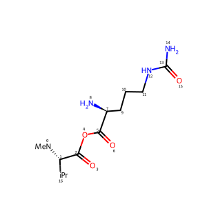 CN[C@H](C(=O)OC(=O)[C@@H](N)CCCNC(N)=O)C(C)C